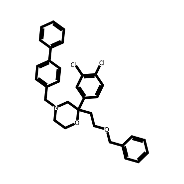 Clc1ccc(C2(CCOCc3ccccc3)CN(Cc3ccc(-c4ccccc4)cc3)CCO2)cc1Cl